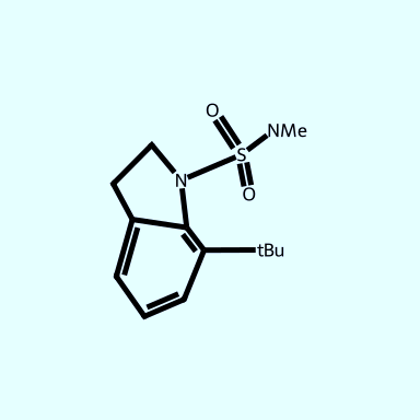 CNS(=O)(=O)N1CCc2cccc(C(C)(C)C)c21